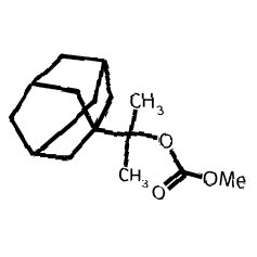 COC(=O)OC(C)(C)C12CC3CC(CC(C3)C1)C2